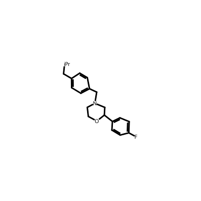 CC(C)Cc1ccc(CN2CCOC(c3ccc(F)cc3)C2)cc1